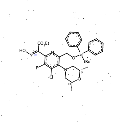 CCOC(=O)/C(=N\O)c1nc(CO[Si](c2ccccc2)(c2ccccc2)C(C)(C)C)c(N2C[C@@H](C)O[C@@H](C)C2)c(Cl)c1F